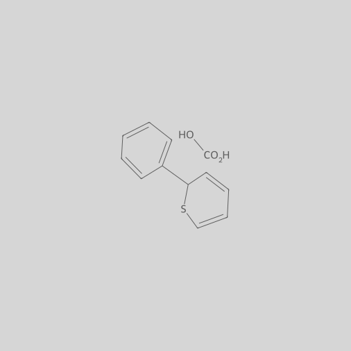 C1=CSC(c2ccccc2)C=C1.O=C(O)O